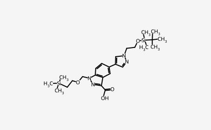 CC(C)(C)[Si](C)(C)OCCn1cc(-c2ccc3c(c2)c(C(=O)O)nn3COCC[Si](C)(C)C)cn1